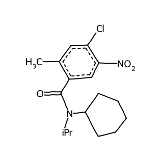 Cc1cc(Cl)c([N+](=O)[O-])cc1C(=O)N(C(C)C)C1CCCCC1